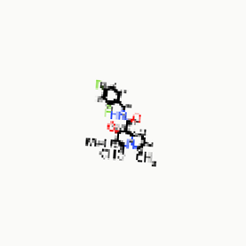 COc1c(C=O)n2c(c(C(=O)NCc3ccc(F)cc3F)c1=O)CC[C@@H]2C